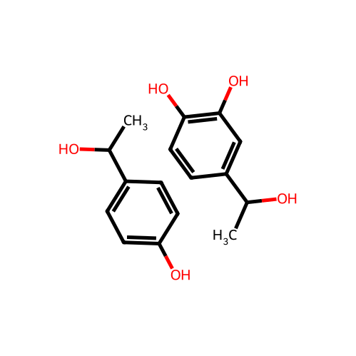 CC(O)c1ccc(O)c(O)c1.CC(O)c1ccc(O)cc1